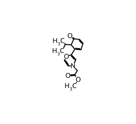 COC(=O)CN1C=COC(C2=CC=CC(=O)C2C(C)C)=C1